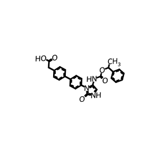 CC(OC(=O)Nc1c[nH]c(=O)n1-c1ccc(-c2ccc(CC(=O)O)cc2)cc1)c1ccccc1